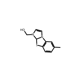 Cc1ccc2c(c1)N1C=CN(CO)C1S2